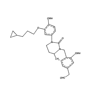 COc1cc(CC=O)ccc1CN1C(=O)N(c2ccc(OC)c(OCCCC3CC3)c2)CCC1C